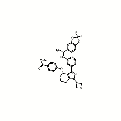 COC(=O)c1ccc(O[C@H]2CCCc3c2c(-c2ccnc(N[C@@H](C)c4ccc5c(c4)OC(F)(F)O5)c2)nn3C2COC2)cc1